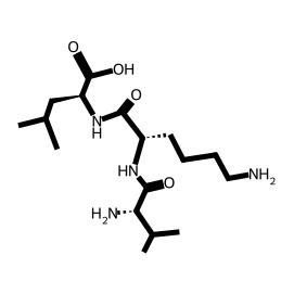 CC(C)C[C@H](NC(=O)[C@H](CCCCN)NC(=O)[C@@H](N)C(C)C)C(=O)O